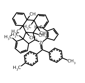 CC1=CC=CC2[CH]([Zr]([C]3=C(C)C=CC3)=[C](c3ccc(C)cc3)c3ccc(C)cc3)C3(C)C4(C)C=CC=CC4(C)C4(C)C=CC=CC4(C)C3(C)C12C